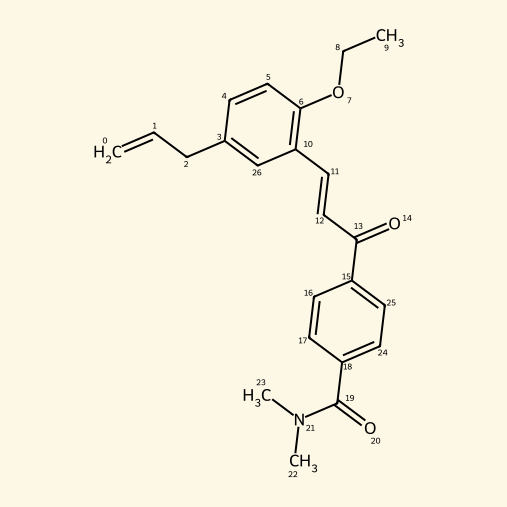 C=CCc1ccc(OCC)c(C=CC(=O)c2ccc(C(=O)N(C)C)cc2)c1